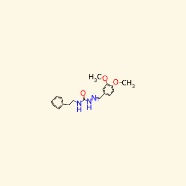 COc1ccc(/C=N/NC(=O)NCCc2ccccc2)cc1OC